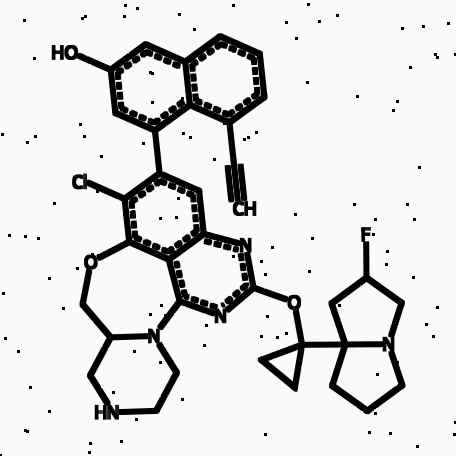 C#Cc1cccc2cc(O)cc(-c3cc4nc(OC5(C67CCCN6CC(F)C7)CC5)nc5c4c(c3Cl)OCC3CNCCN53)c12